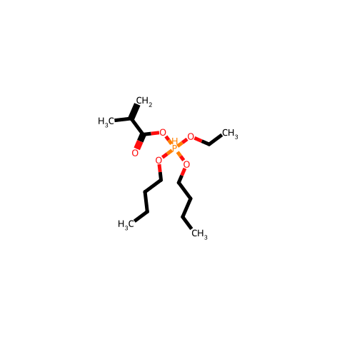 C=C(C)C(=O)O[PH](OCC)(OCCCC)OCCCC